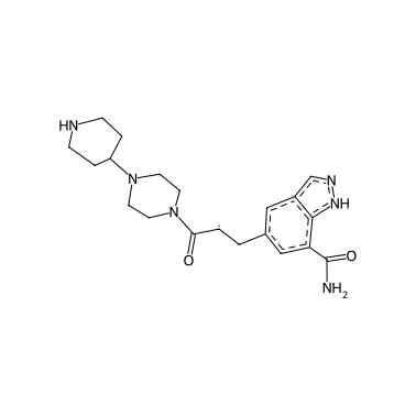 NC(=O)c1cc(C[CH]C(=O)N2CCN(C3CCNCC3)CC2)cc2cn[nH]c12